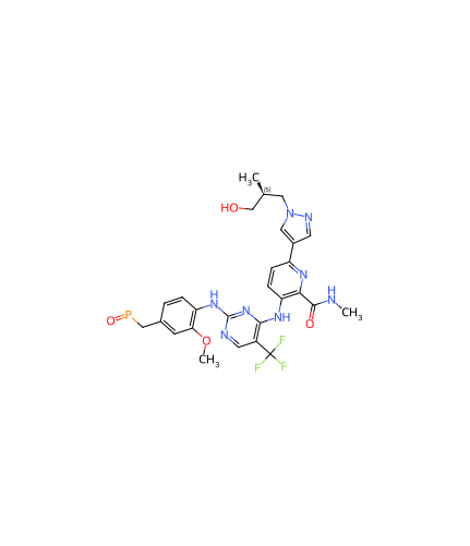 CNC(=O)c1nc(-c2cnn(C[C@H](C)CO)c2)ccc1Nc1nc(Nc2ccc(CP=O)cc2OC)ncc1C(F)(F)F